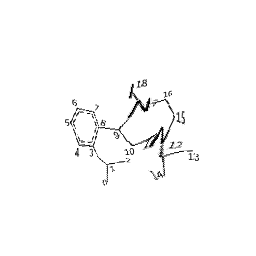 CC(C)c1ccccc1C1CN(C(C)C)CCN1I